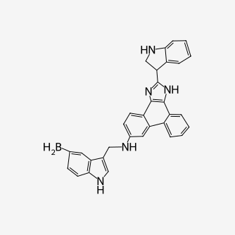 Bc1ccc2[nH]cc(CNc3ccc4c(c3)c3ccccc3c3[nH]c(C5CNc6ccccc65)nc43)c2c1